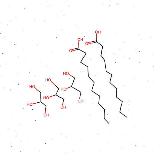 CCCCCCCCCCCC(=O)O.CCCCCCCCCCCC(=O)O.OCC(O)CO.OCC(O)CO.OCC(O)CO